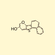 OC1=COc2c3c(sc2=C1)=c1ccccc1=CC=C3